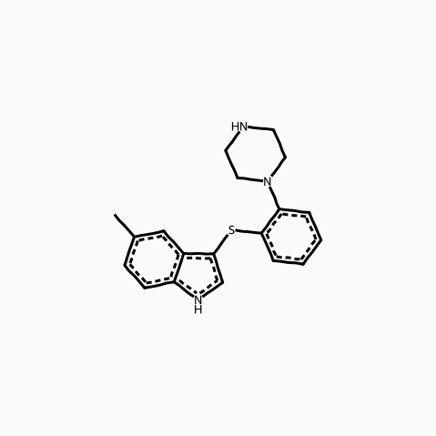 Cc1ccc2[nH]cc(Sc3ccccc3N3CCNCC3)c2c1